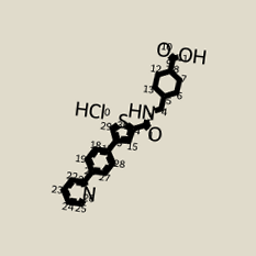 Cl.O=C(NCC1CCC(C(=O)O)CC1)c1cc(-c2ccc(-c3ccccn3)cc2)cs1